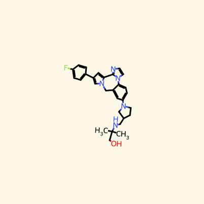 CC(C)(CO)NCC1CCN(c2ccc3c(c2)Cn2cc(-c4ccc(F)cc4)cc2-c2nccn2-3)C1